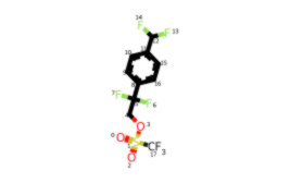 O=S(=O)(OCC(F)(F)c1ccc(C(F)F)cc1)C(F)(F)F